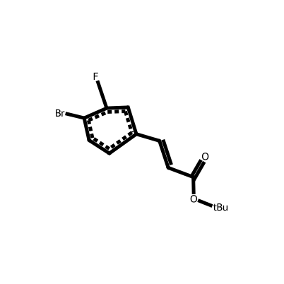 CC(C)(C)OC(=O)/C=C/c1ccc(Br)c(F)c1